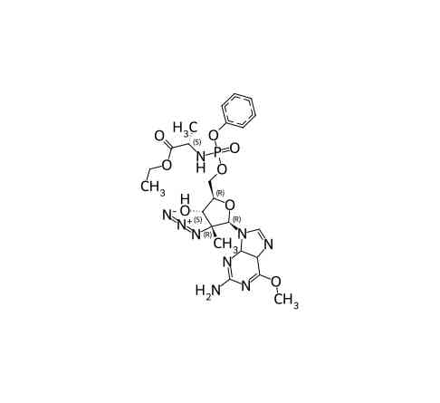 CCOC(=O)[C@H](C)NP(=O)(OC[C@H]1O[C@@H](N2C=NC3C(OC)=NC(N)=NC32)[C@](C)(N=[N+]=[N-])[C@@H]1O)Oc1ccccc1